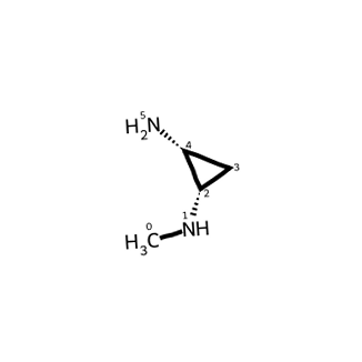 CN[C@H]1C[C@H]1N